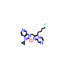 O=c1n(Cc2nc3cnccn3c2CCCCF)c2cnccc2n1C1CC1